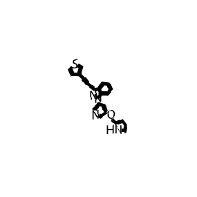 C(#Cc1nn(-c2cncc(OCC3CCCN3)c2)c2ccccc12)c1ccsc1